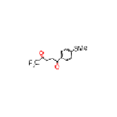 CSc1ccc(C(=O)CCC(=O)C(F)(F)F)cc1